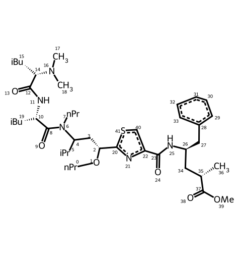 CCCO[C@H](CC(C(C)C)N(CCC)C(=O)[C@@H](NC(=O)[C@H]([C@@H](C)CC)N(C)C)[C@@H](C)CC)c1nc(C(=O)N[C@@H](Cc2ccccc2)C[C@H](C)C(=O)OC)cs1